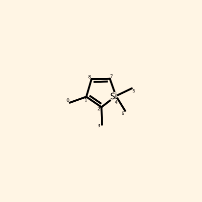 CC1=C(C)[Si](C)(C)C=C1